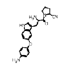 N#CC1CCCN1C(=O)C(N)Cc1c[nH]c2ccc(Oc3ccc(N)cc3)cc12